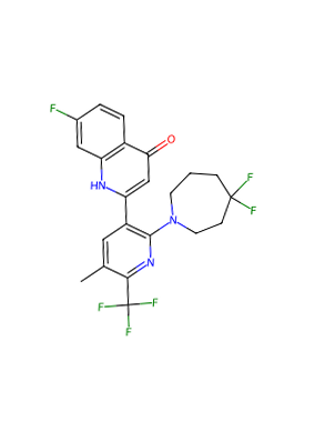 Cc1cc(-c2cc(=O)c3ccc(F)cc3[nH]2)c(N2CCCC(F)(F)CC2)nc1C(F)(F)F